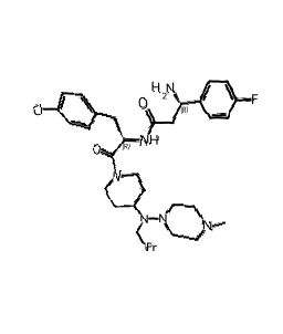 CC(C)CN(C1CCN(C(=O)[C@@H](Cc2ccc(Cl)cc2)NC(=O)C[C@@H](N)c2ccc(F)cc2)CC1)N1CCN(C)CC1